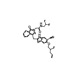 C=CCC(F)COc1cc2nc(Cc3nn(CC(=O)NCC(F)F)c(=O)c4ccccc34)[nH]c2cc1C#N